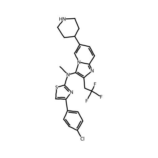 CN(c1nc(-c2ccc(Cl)cc2)cs1)c1c(CC(F)(F)F)nc2ccc(C3CCNCC3)cn12